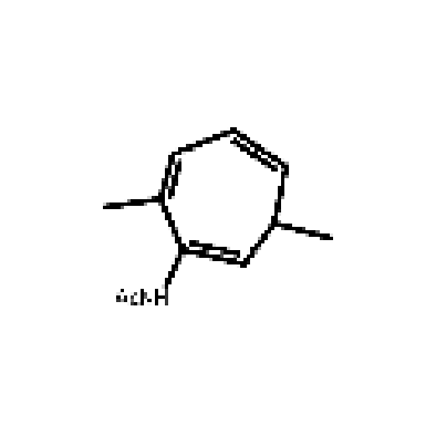 CC(=O)NC1=CC(C)C=CC=C1C